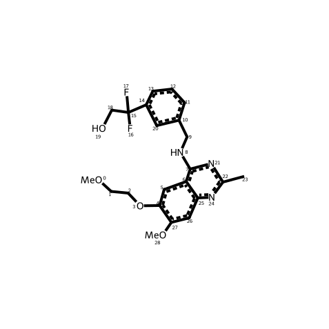 COCCOc1cc2c(NCc3cccc(C(F)(F)CO)c3)nc(C)nc2cc1OC